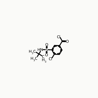 CC(C)(C)NS(=O)(=O)c1cc(C(=O)Cl)ccc1Cl